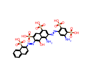 Nc1cc(N=Nc2cc(S(=O)(=O)O)c3cc(S(=O)(=O)O)c(N=Nc4ccc5ccccc5c4S(=O)(=O)O)c(O)c3c2N)c(S(=O)(=O)O)cc1S(=O)(=O)O